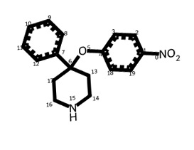 O=[N+]([O-])c1ccc(OC2(c3ccccc3)CCNCC2)cc1